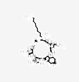 CCCCCCCCCC[C@H]1OC(=O)CNC(=O)[C@H]([C@H](C)O)NC(=O)[C@H](CN)NC(=O)C(C2CCC(F)(F)CC2)NC(=O)[C@H](CC(C)C)N(C)C(=O)[C@@H]1C